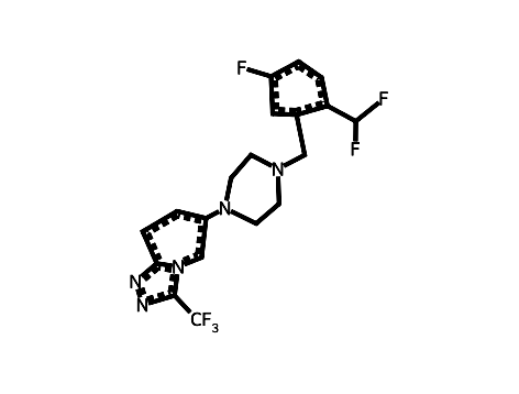 Fc1ccc(C(F)F)c(CN2CCN(c3ccc4nnc(C(F)(F)F)n4c3)CC2)c1